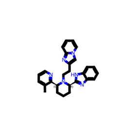 Cc1cccnc1[C@@H]1CCC[C@H](c2nc3ccccc3[nH]2)N1CCc1cn2ccccc2n1